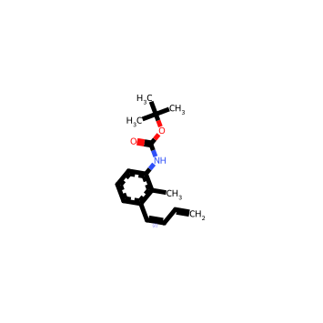 C=C/C=C\c1cccc(NC(=O)OC(C)(C)C)c1C